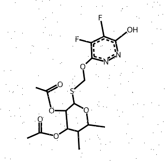 CC(=O)OC1C(SCOc2nnc(O)c(F)c2F)OC(C)C(C)C1OC(C)=O